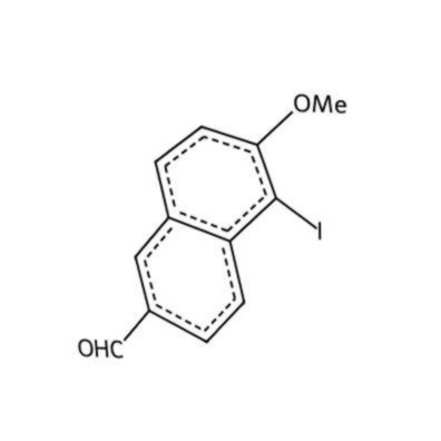 COc1ccc2cc(C=O)ccc2c1I